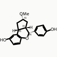 CO[C@@H]1C[C@H]2[C@@H](C1)c1cc(O)ccc1O[C@H]2c1ccc(O)cc1